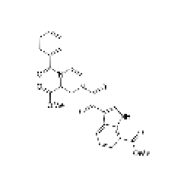 COC(=O)c1cccc2c(C(=O)C(=O)N3C=CN(C(=O)c4ccccc4)C(C(=O)OC)C3)c[nH]c12